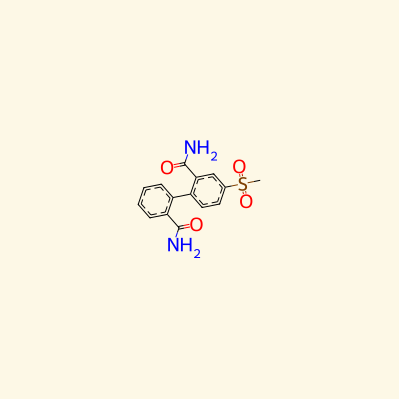 CS(=O)(=O)c1ccc(-c2ccccc2C(N)=O)c(C(N)=O)c1